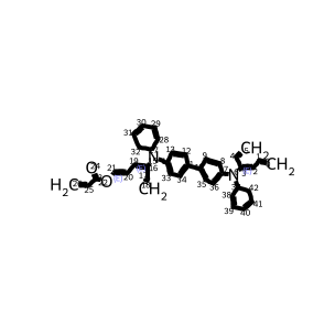 C=C/C=C(\C=C)N(c1ccc(-c2ccc(N(/C(C=C)=C/C=C/OC(=O)C=C)C3C=CC=CC3)cc2)cc1)C1C=CC=CC1